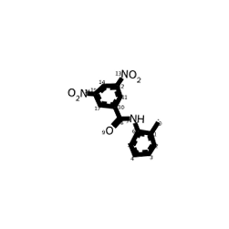 [CH2]c1ccccc1NC(=O)c1cc([N+](=O)[O-])cc([N+](=O)[O-])c1